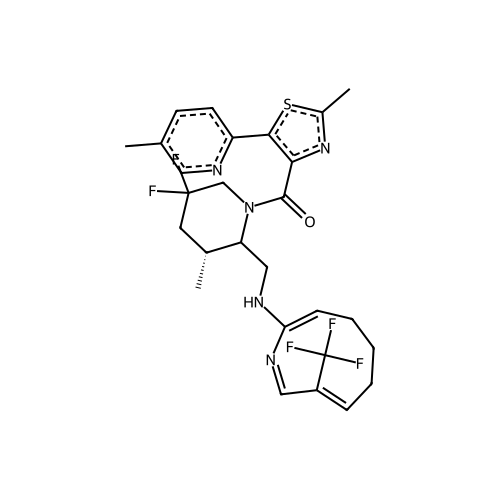 Cc1ccc(-c2sc(C)nc2C(=O)N2CC(F)(F)C[C@@H](C)C2CNC2=C/CCC/C=C(C(F)(F)F)/C=N\2)nc1